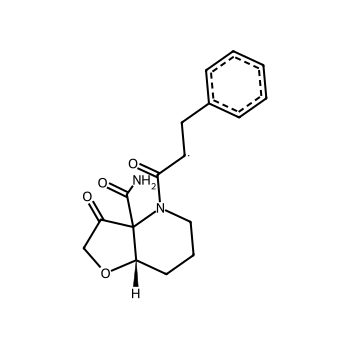 NC(=O)C12C(=O)CO[C@H]1CCCN2C(=O)[CH]Cc1ccccc1